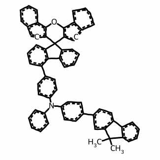 CC1(C)c2ccccc2-c2ccc(-c3ccc(N(c4ccccc4)c4ccc(-c5cccc6c5-c5ccccc5C65c6ccc7ccccc7c6Oc6c5ccc5ccccc65)cc4)cc3)cc21